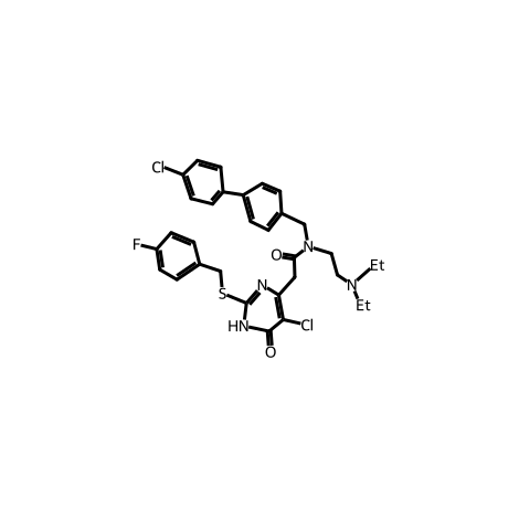 CCN(CC)CCN(Cc1ccc(-c2ccc(Cl)cc2)cc1)C(=O)Cc1nc(SCc2ccc(F)cc2)[nH]c(=O)c1Cl